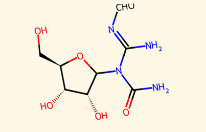 NC(=O)N(C(N)=NC=O)C1O[C@H](CO)[C@@H](O)[C@H]1O